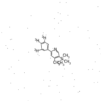 [2H]c1cc(-c2cc(C)c([Si](C)(C)C)cn2)cc([2H])c1[2H]